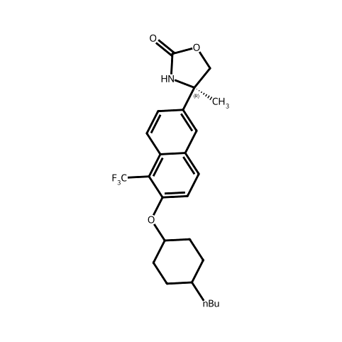 CCCCC1CCC(Oc2ccc3cc([C@]4(C)COC(=O)N4)ccc3c2C(F)(F)F)CC1